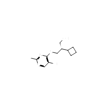 OC[C@H](CNc1nc(Cl)ncc1O)C1CCC1